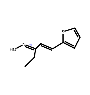 CC/C(C=Cc1cccs1)=N\O